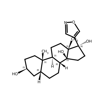 C[C@]12CC[C@H](O)C[C@H]1CC[C@@H]1[C@@H]2CC[C@]2(C)[C@@](O)(c3cnoc3)CC[C@]12O